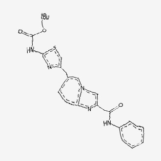 CC(C)(C)OC(=O)Nc1nc(-c2ccc3nc(C(=O)Nc4ccccc4)cn3c2)cs1